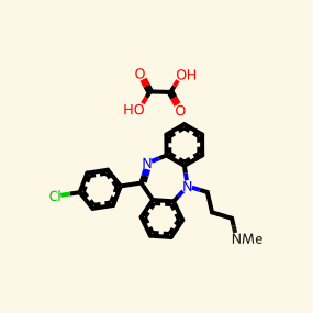 CNCCCN1c2ccccc2N=C(c2ccc(Cl)cc2)c2ccccc21.O=C(O)C(=O)O